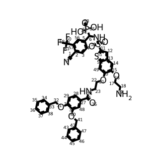 N#Cc1ccc(C(NS(=O)(=O)c2cc3cc(OCCN)c(OCCNC(=O)c4ccc(OCc5ccccc5)c(OCc5ccccc5)c4)cc3s2)P(=O)(O)O)cc1C(F)(F)F